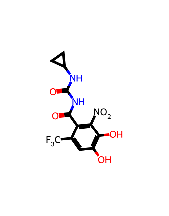 O=C(NC(=O)c1c(C(F)(F)F)cc(O)c(O)c1[N+](=O)[O-])NC1CC1